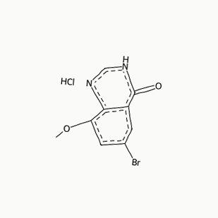 COc1cc(Br)cc2c(=O)[nH]cnc12.Cl